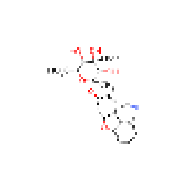 CO[C@]1(O)[C@H](O)[C@@H](C(=O)O)O[C@@](C)(O[C@H]2C=C[C@@]34CCNCC5=C3C(=CCC5)OC4C2)[C@@H]1O